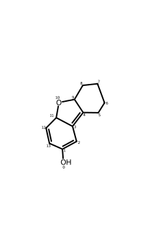 OC1=CC2=C3CCCCC3OC2C=C1